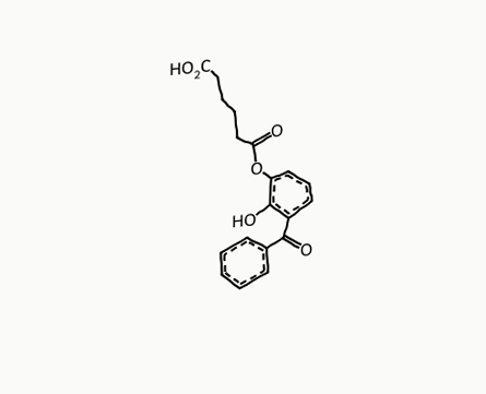 O=C(O)CCCCC(=O)Oc1cccc(C(=O)c2ccccc2)c1O